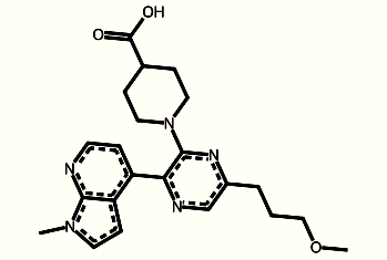 COCCCc1cnc(-c2ccnc3c2ccn3C)c(N2CCC(C(=O)O)CC2)n1